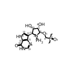 CP(C)(=O)CO[C@@H]1[C@@H](O)[C@@H](O)[C@H](c2c[nH]c3c(=O)[nH]cnc23)N1P